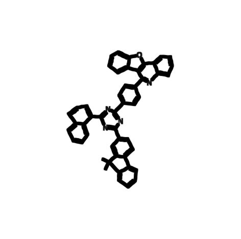 CC1(C)c2ccccc2-c2ccc(-c3nc(-c4ccc(-c5nc6ccccc6c6oc7ccccc7c56)cc4)nc(-c4cccc5ccccc45)n3)cc21